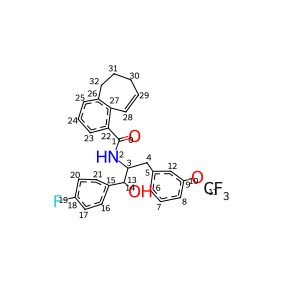 O=C(NC(Cc1cccc(OC(F)(F)F)c1)C(O)c1ccc(F)cc1)c1cccc2c1C=CCCC2